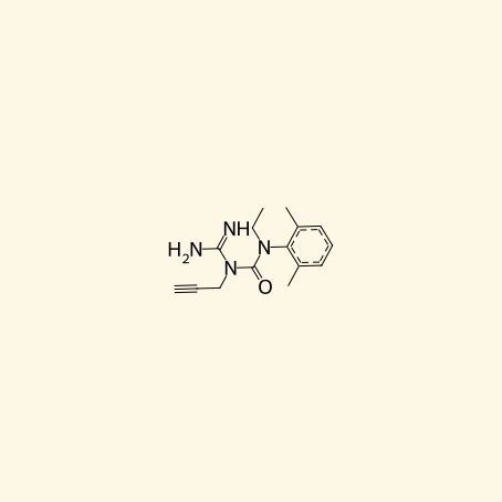 C#CCN(C(=N)N)C(=O)N(CC)c1c(C)cccc1C